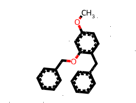 COc1ccc(Cc2ccccc2)c(OCc2ccccc2)c1